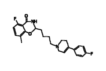 Cc1ccc(F)c2c1OC(CCCCN1CC=C(c3ccc(F)cc3)CC1)NC2=O